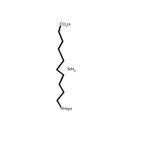 CCCCCCCCCCCCCCCCC(=O)O.[SrH2]